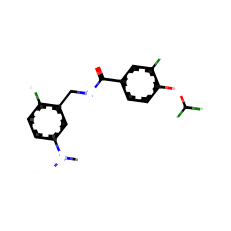 CN(C)c1ccc(Br)c(CNC(=O)c2ccc(OC(F)F)c(F)c2)c1